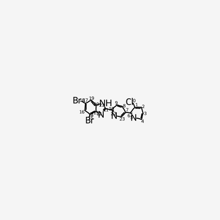 Clc1cccnc1-c1ccc(-c2nc3c(Br)cc(Br)cc3[nH]2)nc1